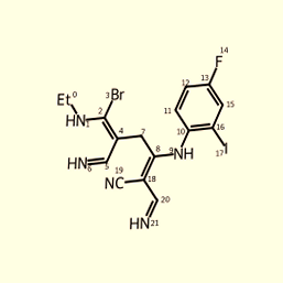 CCN/C(Br)=C(\C=N)C/C(Nc1ccc(F)cc1I)=C(\C#N)C=N